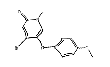 COc1ccc(Oc2cn(C)c(=O)cc2Br)cc1